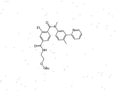 CCCCOCCNC(=O)c1ccc(C(=O)N(C)c2ccc(C)c(-c3ccccn3)c2)c(CC)c1